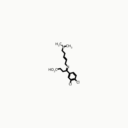 CN(C)CC/C=C/C/N=C(\CCC(=O)O)c1ccc(Cl)c(Cl)c1